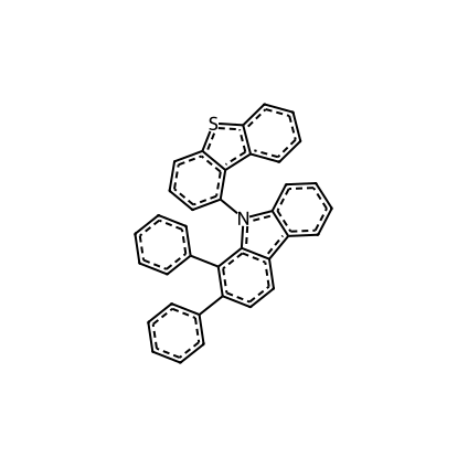 c1ccc(-c2ccc3c4ccccc4n(-c4cccc5sc6ccccc6c45)c3c2-c2ccccc2)cc1